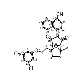 CC12CCC(CCOc3cc(Cl)cc(Cl)c3)(O1)C1C(=O)N(c3ccc(C#N)c4ccccc34)C(=O)C12